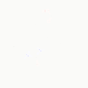 CCCCc1c(CF)n(CCCC)c(=O)n1Cc1ccc(-c2ccccc2C(=O)O)cc1